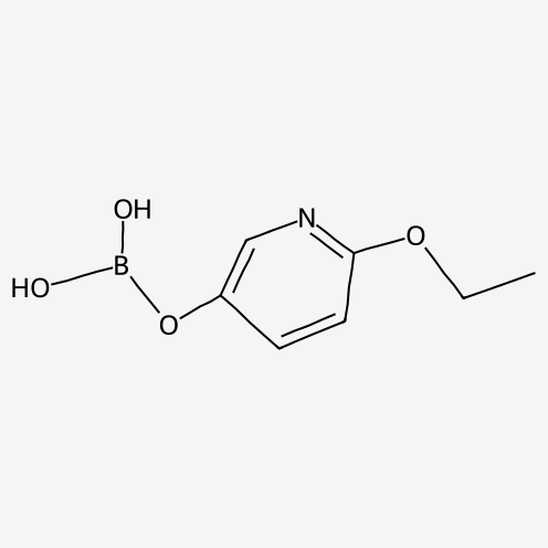 CCOc1ccc(OB(O)O)cn1